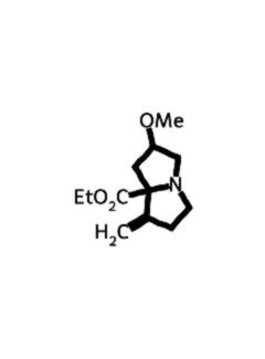 C=C1CCN2CC(OC)CC12C(=O)OCC